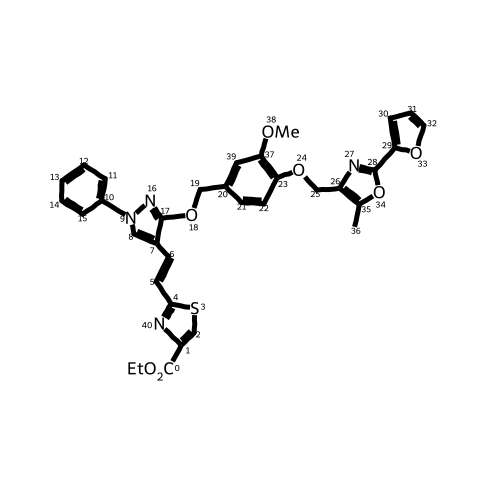 CCOC(=O)c1csc(C=Cc2cn(-c3ccccc3)nc2OCc2ccc(OCc3nc(-c4ccco4)oc3C)c(OC)c2)n1